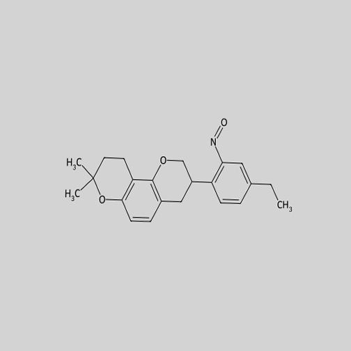 CCc1ccc(C2COc3c(ccc4c3CCC(C)(C)O4)C2)c(N=O)c1